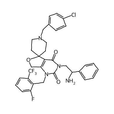 NC(Cn1c(=O)c2c(n(Cc3c(F)cccc3C(F)(F)F)c1=O)COC21CCN(Cc2ccc(Cl)cc2)CC1)c1ccccc1